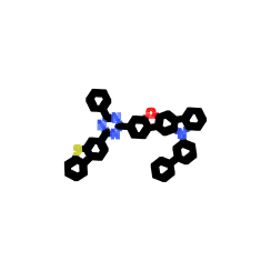 c1ccc(-c2cccc(-n3c4ccccc4c4cc5oc6cc(-c7nc(-c8ccccc8)nc(-c8ccc9c(c8)sc8ccccc89)n7)ccc6c5cc43)c2)cc1